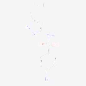 Nc1ccc(S(=O)(=O)Nc2nnc(CS(=O)(=O)O)s2)cc1